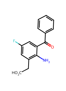 Nc1c(CC(=O)O)cc(F)cc1C(=O)c1ccccc1